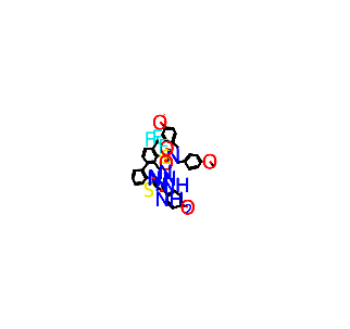 COc1ccc(CN(Cc2ccc(OC)cc2)S(=O)(=O)c2c(C(F)(F)F)ccc(-c3cccc4sc(C(=N)N)nc34)c2-c2nnn(Cc3ccc(OC)cc3)n2)cc1